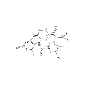 Cc1cc(Cl)cc(C=C2CCN(C(=O)CC3CC3)CC2)c1NC(=O)c1cnc(C)c(Cl)c1